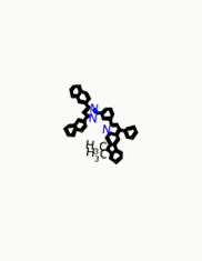 CC1(C)c2ccccc2-c2cc3c(-c4ccccc4)cc(-c4cccc(-c5nc(-c6ccc7ccccc7c6)cc(-c6ccc7ccccc7c6)n5)c4)nc3cc21